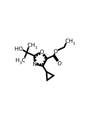 CCOC(=O)c1oc(C(C)(C)O)nc1C1CC1